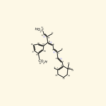 CC1=C(/C=C/C(C)=C/C=C(/C(C)=C/C(=O)O)c2cccc(C(=O)O)c2)C(C)(C)CCC1